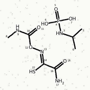 CC(C)NP(=O)(O)O.CNC(=O)ON=C(S)C(N)=O